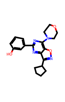 Oc1cccc(-c2nc(N3CCOCC3)c3onc(C4CCCC4)c3n2)c1